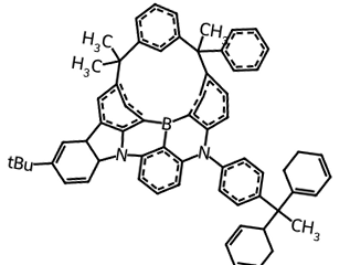 CC(C)(C)C1=CC2c3cc4cc5c3N(c3cccc6c3B5c3cc(ccc3N6c3ccc(C(C)(C5=CC=CCC5)C5C=CC=CC5)cc3)C(C)(c3ccccc3)c3cccc(c3)C4(C)C)C2C=C1